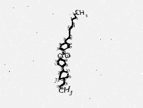 CCCCCCCCc1ccc(C(=O)Oc2ccc(C3CCC(CCC)CC3)cc2)cc1